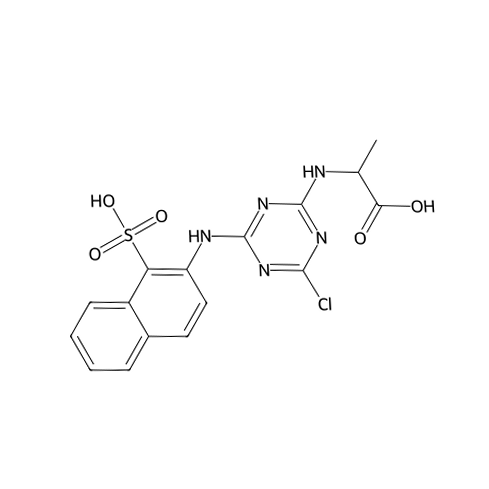 CC(Nc1nc(Cl)nc(Nc2ccc3ccccc3c2S(=O)(=O)O)n1)C(=O)O